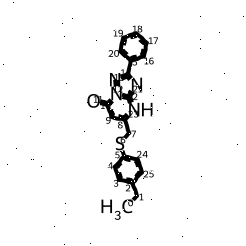 CCc1ccc(SCc2cc(=O)n3nc(-c4ccccc4)nc3[nH]2)cc1